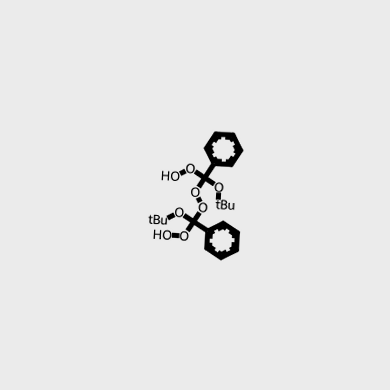 CC(C)(C)OC(OO)(OOC(OO)(OC(C)(C)C)c1ccccc1)c1ccccc1